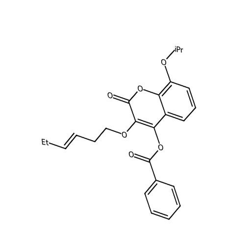 CCC=CCCOc1c(OC(=O)c2ccccc2)c2cccc(OC(C)C)c2oc1=O